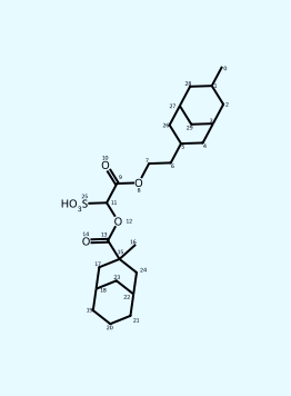 CC1CC2CC(CCOC(=O)C(OC(=O)C3(C)CC4CCCC(C4)C3)S(=O)(=O)O)CC(C1)C2